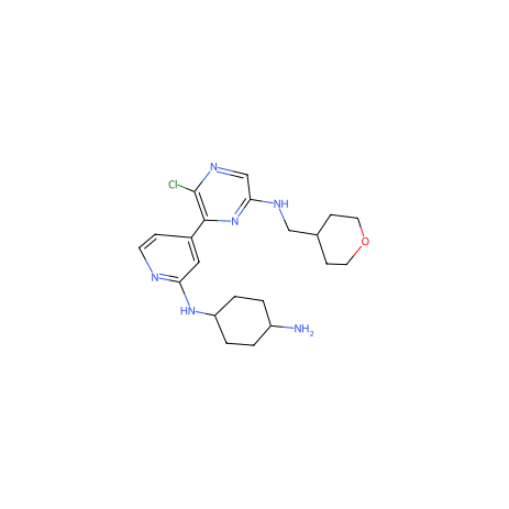 NC1CCC(Nc2cc(-c3nc(NCC4CCOCC4)cnc3Cl)ccn2)CC1